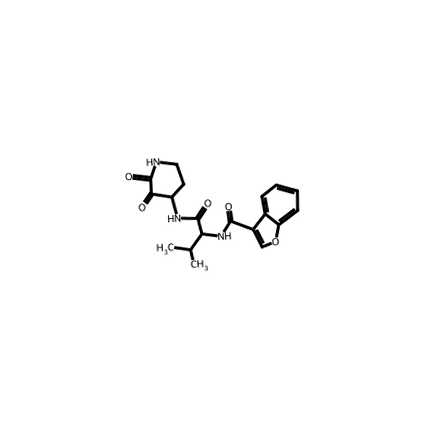 CC(C)C(NC(=O)c1coc2ccccc12)C(=O)NC1CCNC(=O)C1=O